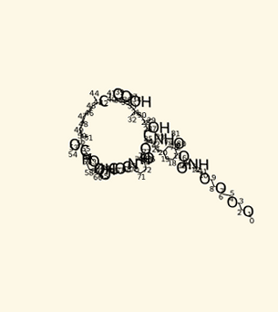 COCCOCCOCCOCCNC(=O)O[C@@H]1CC[C@@H](C[C@@H](N)[C@@H]2C[C@@H](O)[C@H](C)/C=C(\C)[C@@H](O)[C@@H](OC)C(=O)[C@H](C)C[C@H](C)/C=C/C=C/C=C(\C)[C@@H](OC)C[C@@H]3CC[C@@H](C)[C@@](O)(O3)C(=O)COCN3CCCC[C@H]3C(=O)O2)C[C@H]1OC